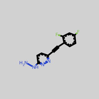 NNc1ccc(C#Cc2ccc(F)cc2F)nn1